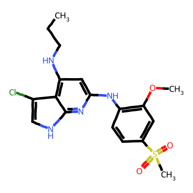 CCCNc1cc(Nc2ccc(S(C)(=O)=O)cc2OC)nc2[nH]cc(Cl)c12